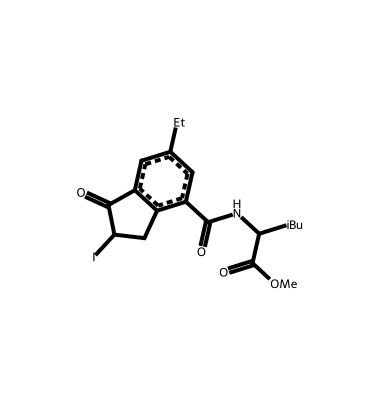 CCc1cc(C(=O)NC(C(=O)OC)C(C)CC)c2c(c1)C(=O)C(I)C2